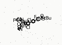 CC(C)(C)OC(=O)N1CC[C@@H](c2ccc(-c3cc(Cl)c4cn(C(C(=O)Nc5nccs5)c5ncn6c5C[C@@H](F)C6)nc4c3Cl)cc2)[C@H](F)C1